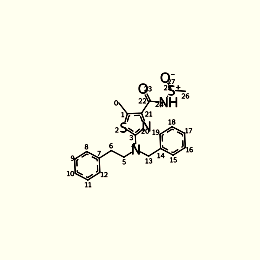 Cc1sc(N(CCc2ccccc2)Cc2ccccc2)nc1C(=O)N[S+](C)[O-]